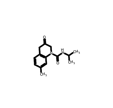 Cc1ccc2c(c1)N(C(=O)NC(C)C)CC(=O)C2